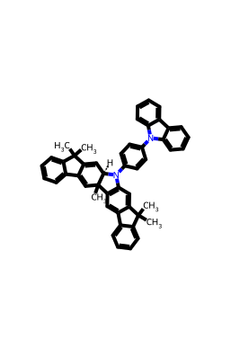 CC1(C)C2=C[C@H]3N(c4ccc(-n5c6ccccc6c6ccccc65)cc4)c4cc5c(cc4C3(C)C=C2c2ccccc21)-c1ccccc1C5(C)C